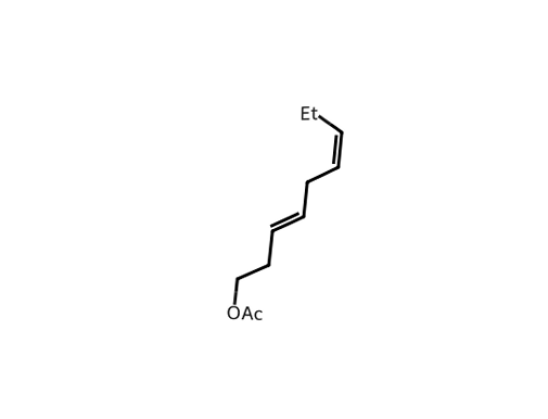 CC/C=C\C/C=C/CCOC(C)=O